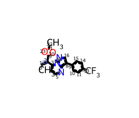 C/C=C(\c1ccnc2c(-c3ccc(C(F)(F)F)cc3)cnn12)C1OC(C)O1